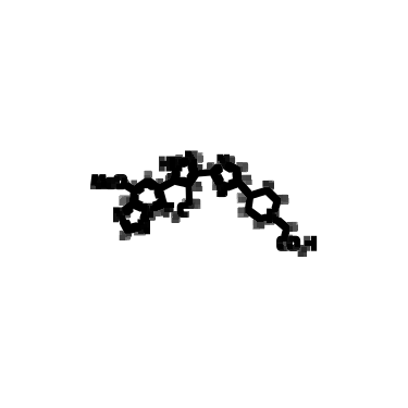 COc1cc(-c2[nH]nc(-c3ncc(C4CCN(CC(=O)O)CC4)s3)c2CC(F)(F)F)cn2ncnc12